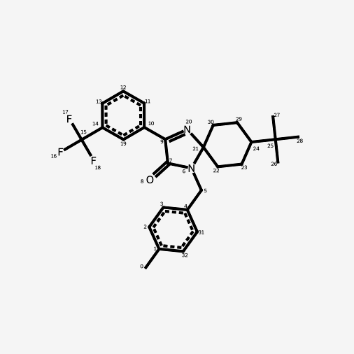 Cc1ccc(CN2C(=O)C(c3cccc(C(F)(F)F)c3)=NC23CCC(C(C)(C)C)CC3)cc1